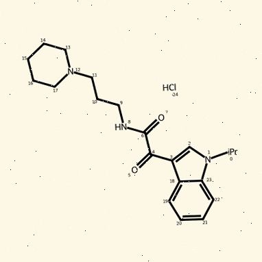 CC(C)n1cc(C(=O)C(=O)NCCCN2CCCCC2)c2ccccc21.Cl